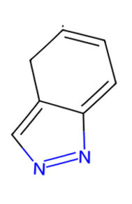 [C]1=CC=C2N=NC=C2C1